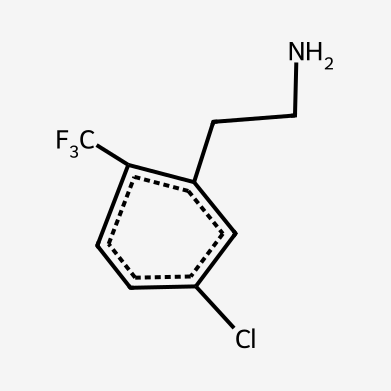 NCCc1cc(Cl)ccc1C(F)(F)F